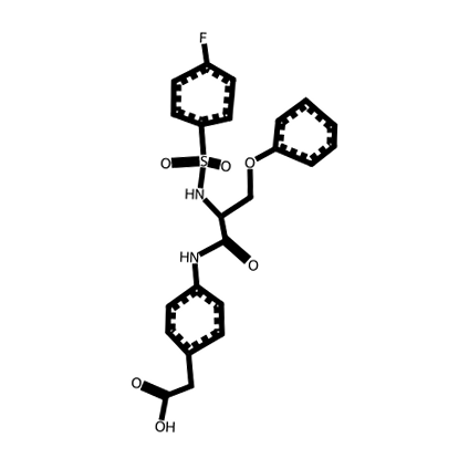 O=C(O)Cc1ccc(NC(=O)C(COc2ccccc2)NS(=O)(=O)c2ccc(F)cc2)cc1